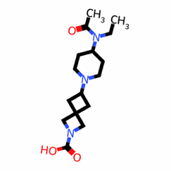 CCN(C(C)=O)C1CCN(C2CC3(C2)CN(C(=O)O)C3)CC1